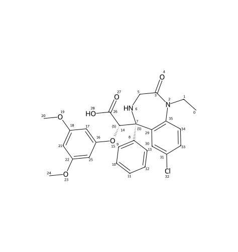 CCN1C(=O)CN[C@](c2ccccc2)([C@H](Oc2cc(OC)cc(OC)c2)C(=O)O)c2cc(Cl)ccc21